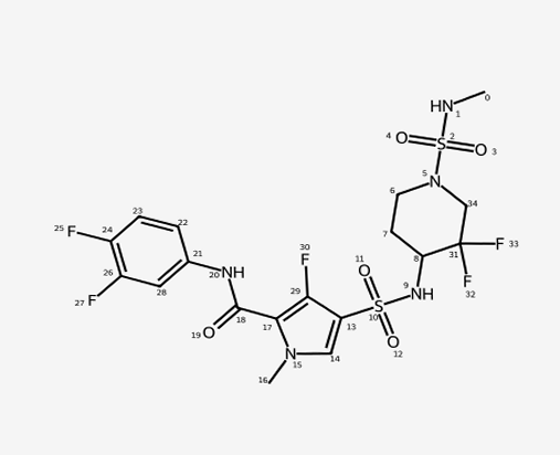 CNS(=O)(=O)N1CCC(NS(=O)(=O)c2cn(C)c(C(=O)Nc3ccc(F)c(F)c3)c2F)C(F)(F)C1